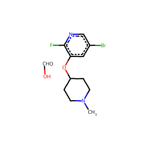 CN1CCC(Oc2cc(Br)cnc2F)CC1.O=CO